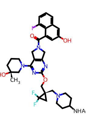 CC(=O)NC1CCN(C[C@@]2(COc3nc4c(c(N5CCC[C@@](C)(O)C5)n3)CN(C(=O)c3cc(O)cc5cccc(I)c35)C4)CC2(F)F)CC1